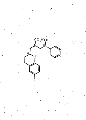 O=C(O)N(C[C@@H]1CCc2cc(I)ccc2O1)C[C@@H](O)c1cccnc1